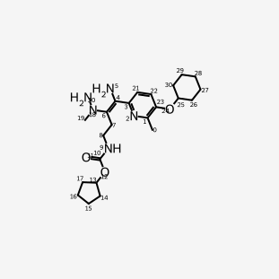 Cc1nc(/C(N)=C(\CCNC(=O)OC2CCCC2)N(C)N)ccc1OC1CCCCC1